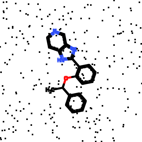 CC(Oc1ccccc1-c1nc2cnccc2[nH]1)c1ccccc1